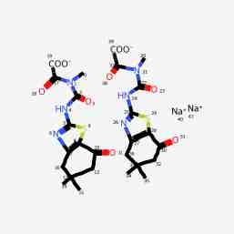 CN(C(=O)Nc1nc2c(s1)C(=O)CC(C)(C)C2)C(=O)C(=O)[O-].CN(C(=O)Nc1nc2c(s1)C(=O)CC(C)(C)C2)C(=O)C(=O)[O-].[Na+].[Na+]